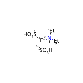 CCN(CC)CC.O=S(=O)(O)CCS(=O)(=O)O